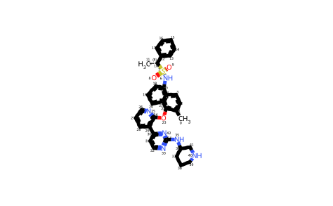 Cc1ccc2c(NS(=O)(=O)[C@H](C)c3ccccc3)cccc2c1Oc1ncccc1-c1ccnc(NC2CCCNC2)n1